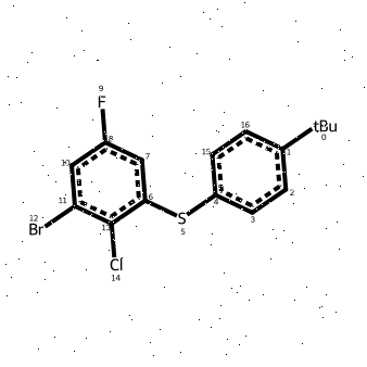 CC(C)(C)c1ccc(Sc2cc(F)cc(Br)c2Cl)cc1